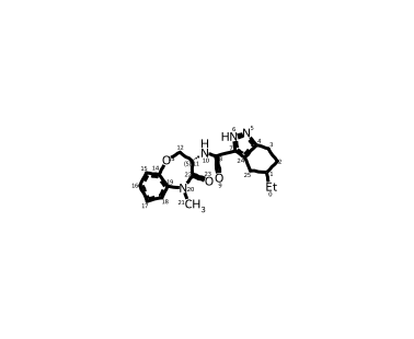 CCC1CCc2n[nH]c(C(=O)N[C@H]3COc4ccccc4N(C)C3=O)c2C1